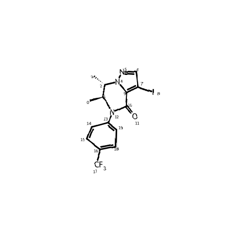 C[C@H]1[C@H](C)n2ncc(I)c2C(=O)N1c1ccc(C(F)(F)F)cc1